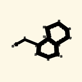 [S]Cc1ccnc2ccccc12